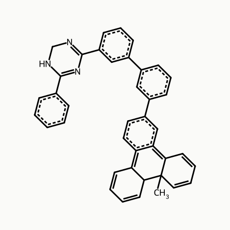 CC12C=CC=CC1=c1cc(-c3cccc(-c4cccc(C5=NCNC(c6ccccc6)=N5)c4)c3)ccc1=C1C=CC=CC12